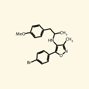 COc1ccc(CC(C)Nc2c(C)noc2-c2ccc(Br)cc2)cc1